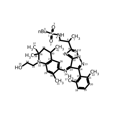 CCCCS(=O)(=O)NCC(C)c1nc2n(n1)N=C(c1c(C)cccc1C)/C2=N/c1cc2c(cc1C)N(CCO)C(C)(C)CC2C